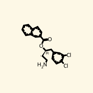 NC[CH][C@H](Cc1ccc(Cl)c(Cl)c1)OC(=O)c1ccc2ccccc2c1